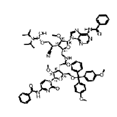 COc1ccc(C(OC[C@H]2O[C@@H](n3ccc(NC(=O)c4ccccc4)nc3=O)[C@H](OC)[C@@H]2CC(=O)NC[C@@H]2O[C@@H](n3cnc4c(NC(=O)c5ccccc5)ncnc43)[C@H](OC)[C@@H]2C(C#N)COP(O)N(C(C)C)C(C)C)(c2ccccc2)c2ccc(OC)cc2)cc1